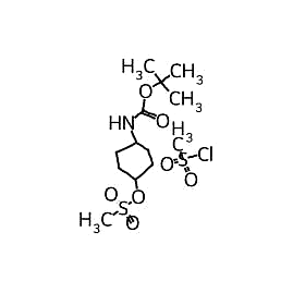 CC(C)(C)OC(=O)NC1CCC(OS(C)(=O)=O)CC1.CS(=O)(=O)Cl